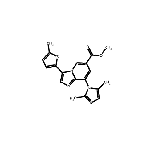 COC(=O)c1cc(-n2c(C)cnc2C)c2ncc(-c3ccc(C)s3)n2c1